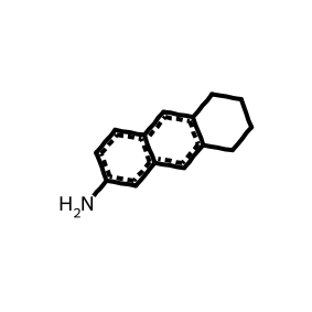 Nc1ccc2cc3c(cc2c1)CCCC3